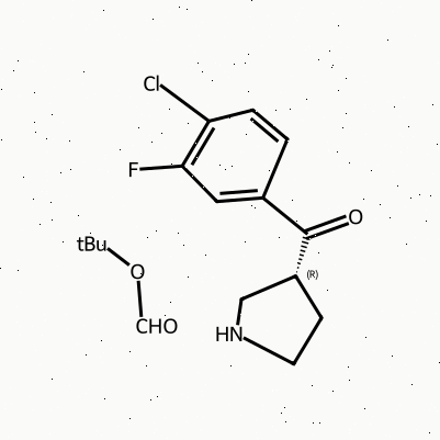 CC(C)(C)OC=O.O=C(c1ccc(Cl)c(F)c1)[C@@H]1CCNC1